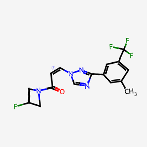 Cc1cc(-c2ncn(/C=C\C(=O)N3CC(F)C3)n2)cc(C(F)(F)F)c1